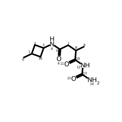 CC1CC(NC(=O)CC(C)C(=O)NC(N)=O)C1